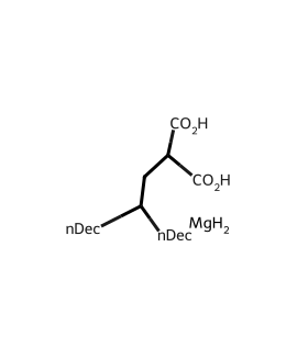 CCCCCCCCCCC(CCCCCCCCCC)CC(C(=O)O)C(=O)O.[MgH2]